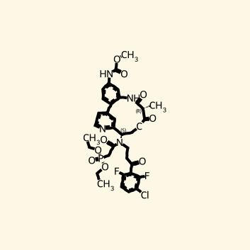 CCOP(=O)(CC(=O)N(CCC(=O)c1c(F)ccc(Cl)c1F)[C@H]1CCC(=O)[C@@H](C)C(=O)Nc2cc(NC(=O)OC)ccc2-c2ccnc1c2)OCC